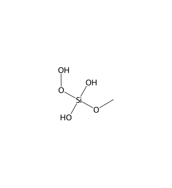 CO[Si](O)(O)OO